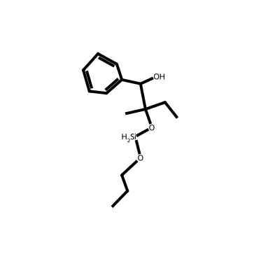 CCCO[SiH2]OC(C)(CC)C(O)c1ccccc1